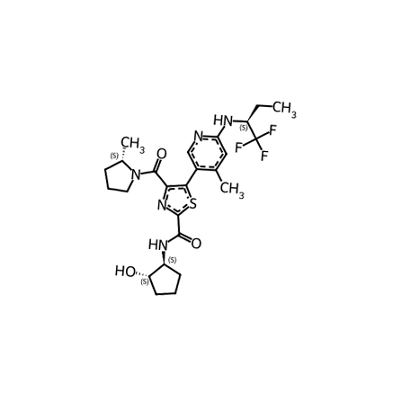 CC[C@H](Nc1cc(C)c(-c2sc(C(=O)N[C@H]3CCC[C@@H]3O)nc2C(=O)N2CCC[C@@H]2C)cn1)C(F)(F)F